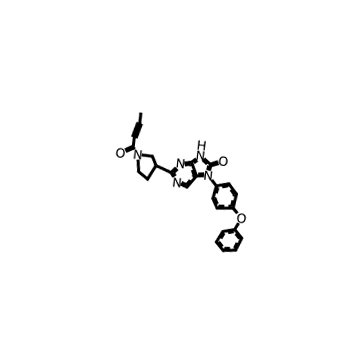 CC#CC(=O)N1CCC(c2ncc3c(n2)[nH]c(=O)n3-c2ccc(Oc3ccccc3)cc2)C1